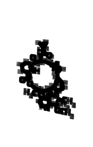 CCn1c(-c2cccnc2[C@H](C)OC)c2c3cc(ccc31)-c1csc(n1)C[C@H](NC(=O)C1CC1)C(=O)N1CCC[C@H](N1)C(=O)OCC(C)(C)C2